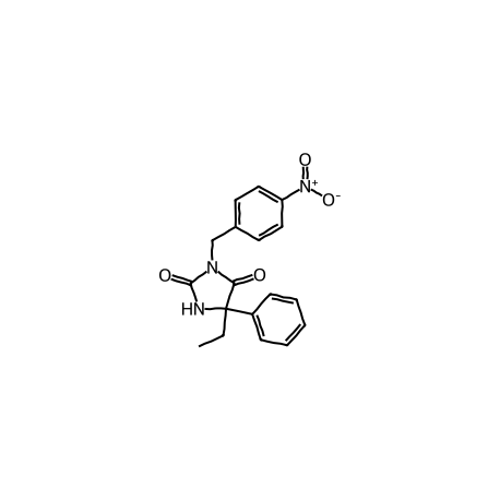 CCC1(c2ccccc2)NC(=O)N(Cc2ccc([N+](=O)[O-])cc2)C1=O